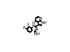 N=N/N=C(\Nc1cccc(F)c1F)c1c[nH]c2ncccc12